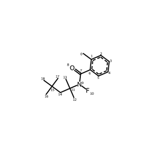 Cc1ccccc1C(=O)N(F)C(C)(C)CC(C)(C)C